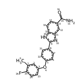 Cc1cc(Oc2ccc(-c3nc4cc(C(N)=O)ccc4[nH]3)cc2)ccc1F